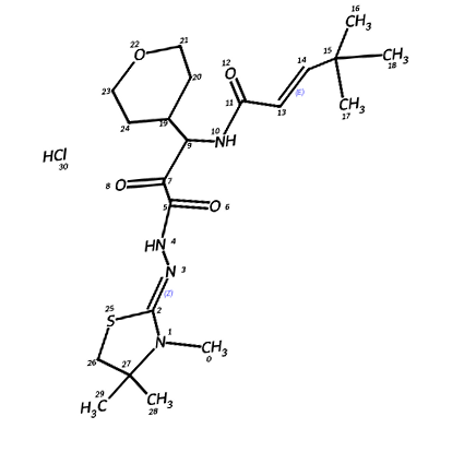 CN1/C(=N/NC(=O)C(=O)C(NC(=O)/C=C/C(C)(C)C)C2CCOCC2)SCC1(C)C.Cl